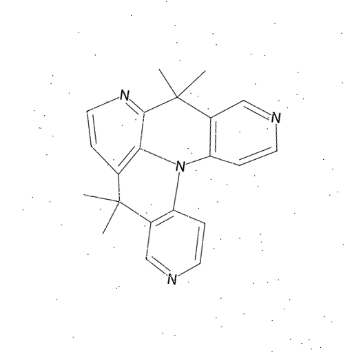 CC1(C)c2cnccc2N2c3ccncc3C(C)(C)c3nccc1c32